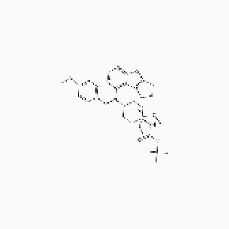 CCC(C[C@H]1CCc2sc3ncnc(N(Cc4ccc(OC)cc4)C4CCC(NC(=O)OC(C)(C)C)CC4)c3c21)OC